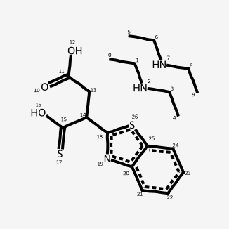 CCNCC.CCNCC.O=C(O)CC(C(O)=S)c1nc2ccccc2s1